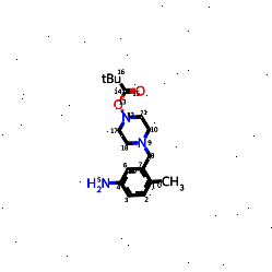 Cc1ccc(N)cc1CN1CCN(OC(=O)C(C)(C)C)CC1